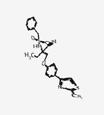 CCC(C#N)(COc1ccc(-c2csc(C)n2)cc1)NS(=O)(=O)Cc1ccccc1